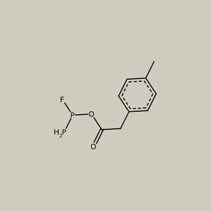 Cc1ccc(CC(=O)OP(F)P)cc1